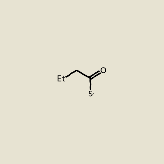 CCCC(=O)[S]